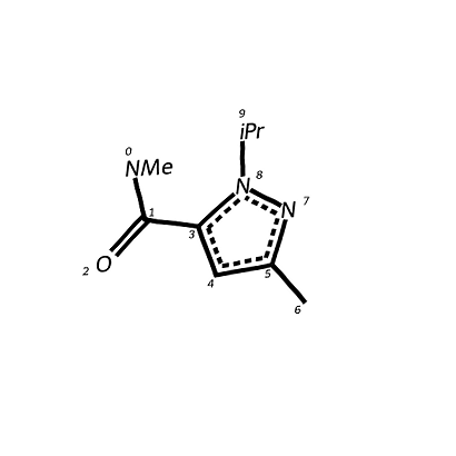 CNC(=O)c1cc(C)nn1C(C)C